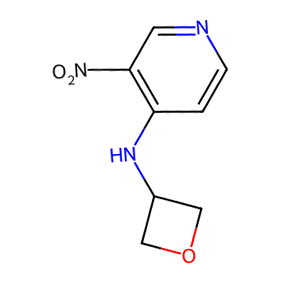 O=[N+]([O-])c1cnccc1NC1COC1